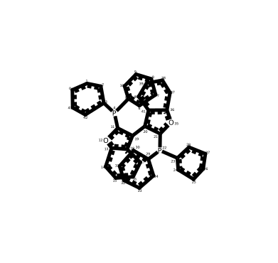 c1ccc(P(c2ccccc2)c2oc3ccccc3c2-c2c(P(c3ccccc3)c3ccccc3)oc3ccccc23)cc1